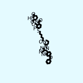 Nc1ncnc2c1c(-c1ccc(Oc3ccccc3)cc1)nn2[C@@H]1CCCN(C(=O)CCCCCSc2ccc3c(c2F)C(=O)N(C2CCC(=O)NC2=O)C3=O)C1